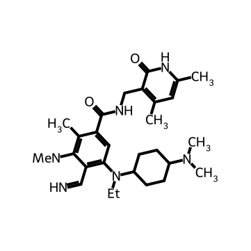 CCN(c1cc(C(=O)NCc2c(C)cc(C)[nH]c2=O)c(C)c(NC)c1C=N)C1CCC(N(C)C)CC1